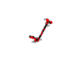 Cc1ncsc1-c1ccc(CNC(=O)[C@@H]2C[C@@H](O)CN2C(=O)[C@@H](NC(=O)CCOCCOCCOCCOCCOCCOCCNCCC(=O)Nc2sc3c(c2-c2nc4ccccc4s2)CCNC3)C(C)(C)C)cc1